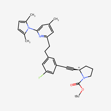 Cc1cc(CCc2cc(F)cc(C#C[C@H]3CCCN3C(=O)OC(C)(C)C)c2)nc(-n2c(C)ccc2C)c1